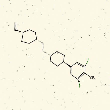 C=C[C@H]1CC[C@H](CC[C@H]2CC[C@H](c3cc(F)c(C(F)(F)F)c(F)c3)CC2)CC1